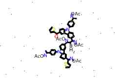 BC(C(=NOC(C)=O)c1ccc2c(c1)c1cc(C(=O)c3cccs3)ccc1n2-c1ccc(C(C)=NOC(C)=O)cc1)C(=NOC(C)=O)c1ccc2c(c1)c1cc(C(=NOC(C)=O)c3cccs3)ccc1n2-c1ccc(C(C)=NOC(C)=O)cc1